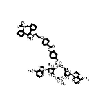 B[P@]1(=O)OC[C@H]2O[C@@H](n3cnc4c(N)ccnc43)[C@H](F)[C@@H]2O[P@](=O)(SCc2ccc(OC(=O)c3ccc(OCCn4nnc5c4-c4ccccc4CN(C(=O)CC)c4ccccc4-5)cc3)cc2)OC[C@H]2O[C@@H](n3cnc4c(N)ncnc43)[C@H](F)[C@@H]2O1